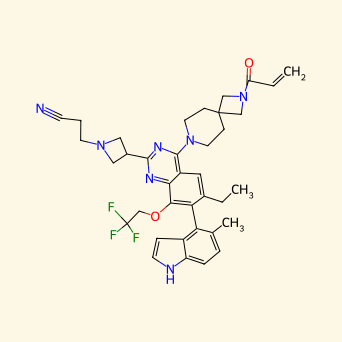 C=CC(=O)N1CC2(CCN(c3nc(C4CN(CCC#N)C4)nc4c(OCC(F)(F)F)c(-c5c(C)ccc6[nH]ccc56)c(CC)cc34)CC2)C1